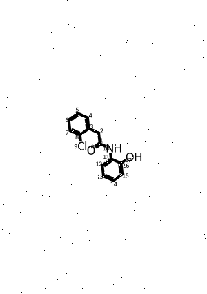 O=C(Cc1ccccc1Cl)Nc1ccccc1O